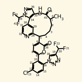 CC1CCCC(c2ccc(-c3cc(Cl)ccc3-n3cc(C(F)F)nn3)oc2=O)c2cc(ccn2)-c2c(cnn2C(F)F)NC1=O